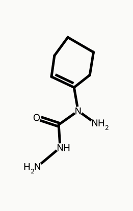 NNC(=O)N(N)C1=CCCCC1